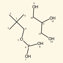 CC(C)(C)COP(O)O.OCC(O)CO